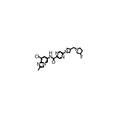 Cc1cn2cc(NC(=O)c3cnc(N4CC(CN5CCC(F)C5)C4)cn3)cc(Cl)c2n1